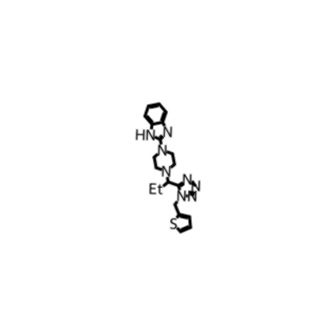 CCC(c1nnnn1Cc1cccs1)N1CCN(c2nc3ccccc3[nH]2)CC1